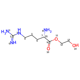 N=C(N)NCCC[C@H](N)C(=O)OCCO